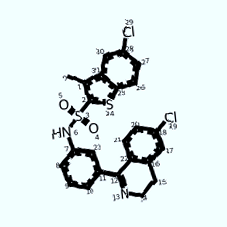 Cc1c(S(=O)(=O)Nc2cccc(C3=NCCc4cc(Cl)ccc43)c2)sc2ccc(Cl)cc12